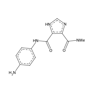 CNC(=O)c1nc[nH]c1C(=O)Nc1ccc(N)cc1